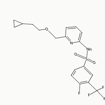 O=S(=O)(Nc1cccc(COCCC2CC2)n1)c1ccc(F)c(C(F)(F)F)c1